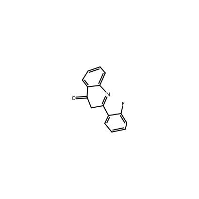 O=C1CC(c2ccccc2F)=Nc2ccccc21